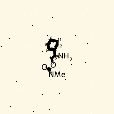 CNC(=O)OC[C@H](N)c1ccccc1